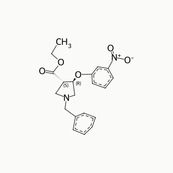 CCOC(=O)[C@H]1CN(Cc2ccccc2)C[C@@H]1Oc1cccc([N+](=O)[O-])c1